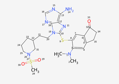 CN(C)c1cc2c(cc1Sc1nc3c(N)ncnc3n1CCC1CCCN(S(C)(=O)=O)C1)C(=O)CC2